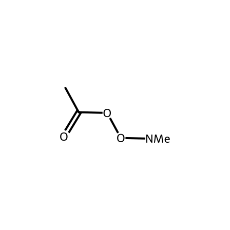 CNOOC(C)=O